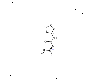 CO/C(C)=C\C(=O)NC1CCCC1